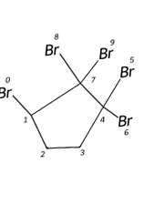 BrC1CCC(Br)(Br)C1(Br)Br